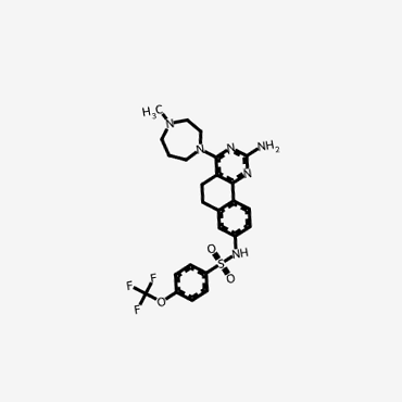 CN1CCCN(c2nc(N)nc3c2CCc2cc(NS(=O)(=O)c4ccc(OC(F)(F)F)cc4)ccc2-3)CC1